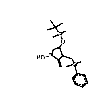 C=C1C(C[Si](C)(C)c2ccccc2)C(O[Si](C)(C)C(C)(C)C)C[C@H]1O